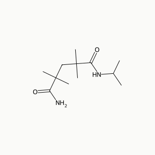 CC(C)NC(=O)C(C)(C)CC(C)(C)C(N)=O